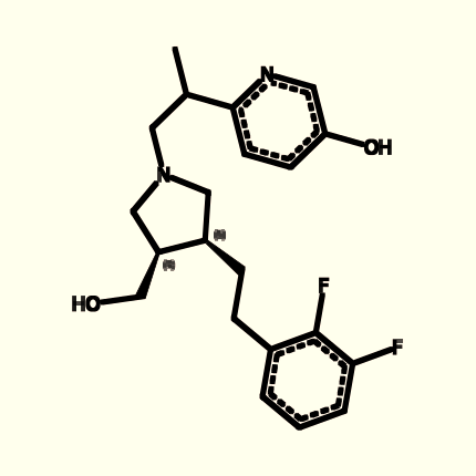 CC(CN1C[C@@H](CCc2cccc(F)c2F)[C@@H](CO)C1)c1ccc(O)cn1